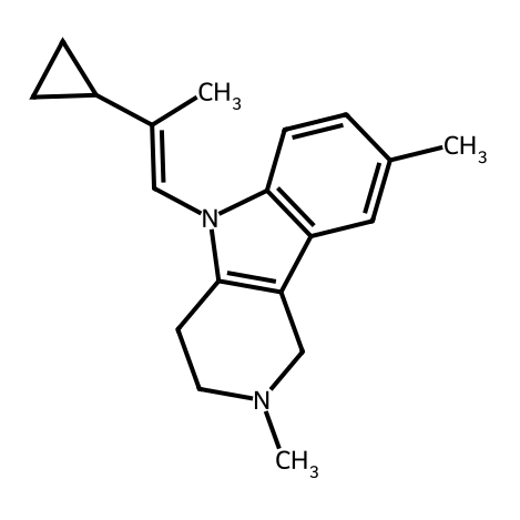 C/C(=C\n1c2c(c3cc(C)ccc31)CN(C)CC2)C1CC1